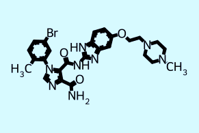 Cc1ccc(Br)cc1-n1cnc(C(N)=O)c1C(=O)Nc1nc2cc(OCCN3CCN(C)CC3)ccc2[nH]1